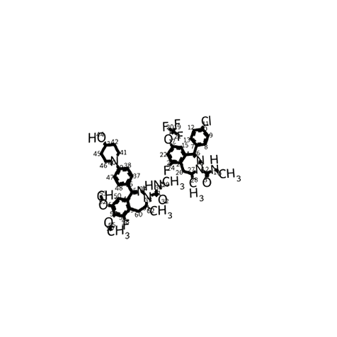 CNC(=O)N1N=C(c2ccc(Cl)cc2)c2cc(OC(F)(F)F)cc(F)c2CC1C.CNC(=O)N1N=C(c2ccc(N3CCC(O)CC3)cc2)c2cc(OC)c(OC)c(F)c2C[C@H]1C